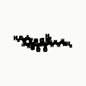 Cc1ccc(S(=O)(=O)C(=O)C(Cl)C(=O)[C@@H](N)CCCCN)cc1